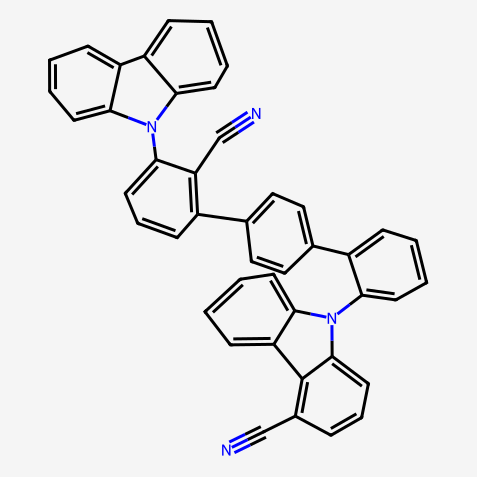 N#Cc1c(-c2ccc(-c3ccccc3-n3c4ccccc4c4c(C#N)cccc43)cc2)cccc1-n1c2ccccc2c2ccccc21